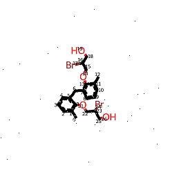 Cc1cccc(Cc2cccc(C)c2OCC(Br)CO)c1OCC(Br)CO